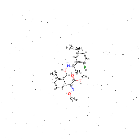 CO/N=C(/C(=O)OC)c1cccc(C)c1CO/N=C(\C)c1cc([SiH2]C)ccc1F